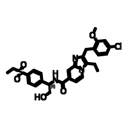 CCc1c(Cc2ccc(Cl)cc2OC)nc2cc(C(=O)N[C@@H](CO)c3ccc(S(=O)(=O)CC)cc3)ccn12